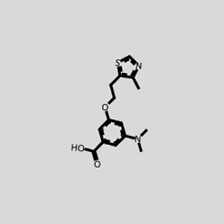 Cc1ncsc1CCOc1cc(C(=O)O)cc(N(C)C)c1